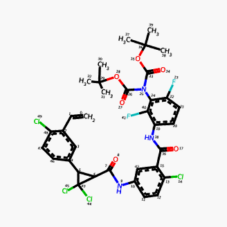 C=Cc1cc(C2C(C(=O)Nc3ccc(Cl)c(C(=O)Nc4ccc(F)c(N(C(=O)OC(C)(C)C)C(=O)OC(C)(C)C)c4F)c3)C2(Cl)Cl)ccc1Cl